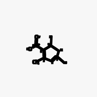 CC1=CC(Cl)=C([N+](=O)[O-])C(C)C1